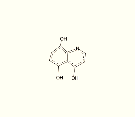 Oc1ccc(O)c2c(O)ccnc12